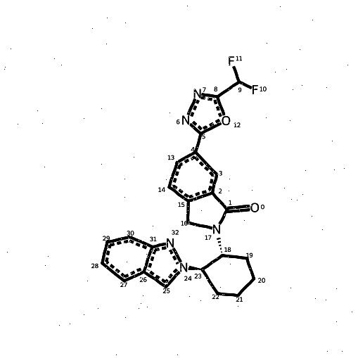 O=C1c2cc(-c3nnc(C(F)F)o3)ccc2CN1[C@@H]1CCCC[C@H]1n1cc2ccccc2n1